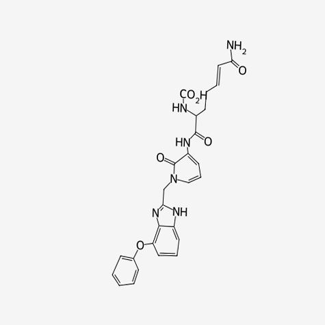 NC(=O)/C=C/CCC(NC(=O)O)C(=O)Nc1cccn(Cc2nc3c(Oc4ccccc4)cccc3[nH]2)c1=O